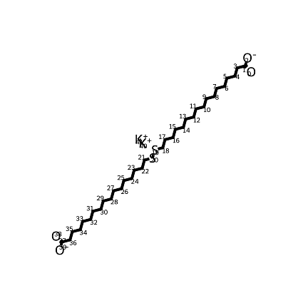 O=C([O-])CCCCCCCCCCCCCCCCSSCCCCCCCCCCCCCCCCC(=O)[O-].[K+].[K+]